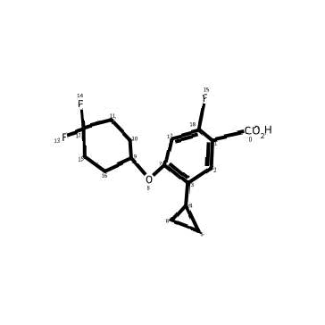 O=C(O)c1cc(C2CC2)c(OC2CCC(F)(F)CC2)cc1F